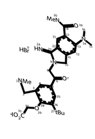 Br.CNCc1cc(C(=O)CN2Cc3cc(N(C)C)c(C(=O)NC)cc3C2=N)cc(C(C)(C)C)c1OCC(=O)O